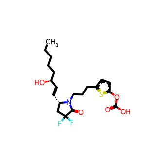 CCCCC[C@H](O)/C=C/[C@H]1CC(F)(F)C(=O)N1CCCc1ccc(OC(=O)O)s1